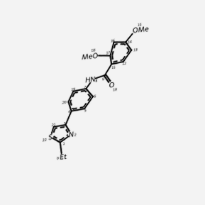 CCc1nc(-c2ccc(NC(=O)c3ccc(OC)cc3OC)cc2)cs1